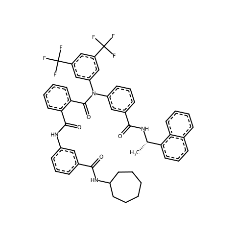 C[C@H](NC(=O)c1cccc(N(C(=O)c2ccccc2C(=O)Nc2cccc(C(=O)NC3CCCCCC3)c2)c2cc(C(F)(F)F)cc(C(F)(F)F)c2)c1)c1cccc2ccccc12